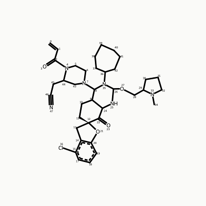 C=CC(=O)N1CCN(C2C3CC[C@@]4(Cc5c(Cl)cccc5O4)C(=O)C3NC(OCC3CCCN3C)N2C2CCCCCC2)CC1CC#N